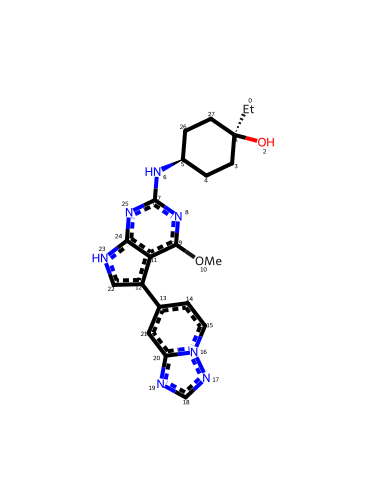 CC[C@]1(O)CC[C@@H](Nc2nc(OC)c3c(-c4ccn5ncnc5c4)c[nH]c3n2)CC1